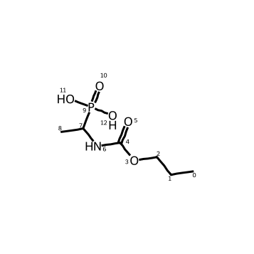 CCCOC(=O)NC(C)P(=O)(O)O